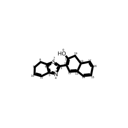 OC1=C(c2nc3c(s2)CCC=C3)C=C2C=CC=CC2C1